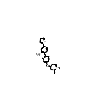 CC1CC(Oc2ccc(-c3ccc(-n4cccn4)cc3O)nn2)CCN1